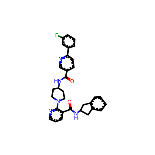 O=C(NC1CCN(c2ncccc2C(=O)NC2Cc3ccccc3C2)CC1)c1ccc(-c2cccc(F)c2)nc1